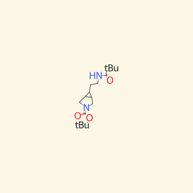 CC(C)(C)OC(=O)N1CC2C(CCNC(=O)C(C)(C)C)C2C1